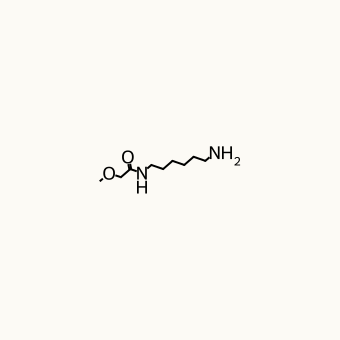 COCC(=O)NCCCCCCN